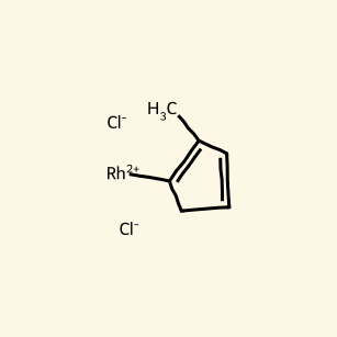 CC1=[C]([Rh+2])CC=C1.[Cl-].[Cl-]